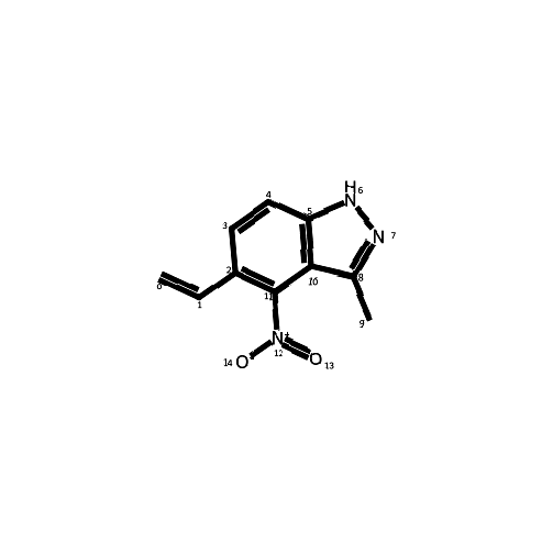 C=Cc1ccc2[nH]nc(C)c2c1[N+](=O)[O-]